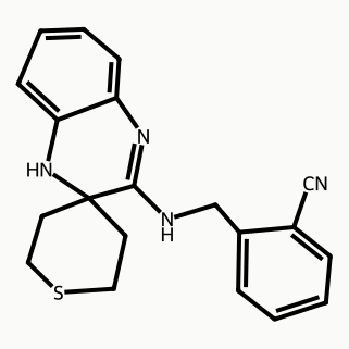 N#Cc1ccccc1CNC1=Nc2ccccc2NC12CCSCC2